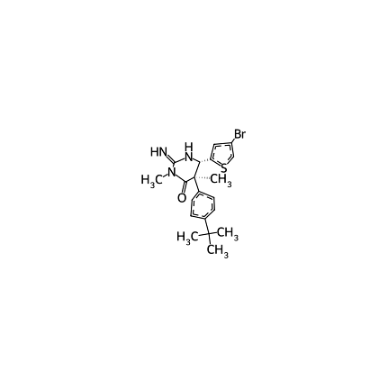 CN1C(=N)N[C@H](c2cc(Br)cs2)[C@@](C)(c2ccc(C(C)(C)C)cc2)C1=O